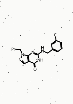 CC(C)Cn1ncc2c(=O)[nH]c(NCc3cccc(Cl)c3)nc21